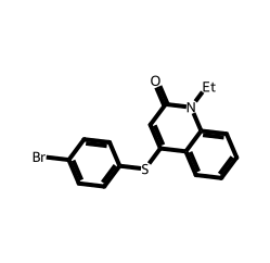 CCn1c(=O)cc(Sc2ccc(Br)cc2)c2ccccc21